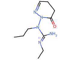 CCCN(/C(N)=N/CC)N1N=CCCC1=O